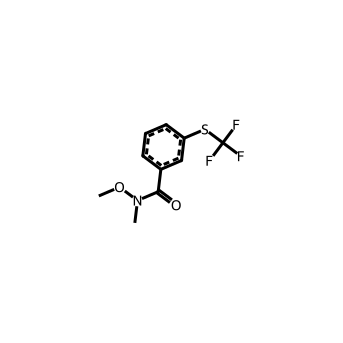 CON(C)C(=O)c1cccc(SC(F)(F)F)c1